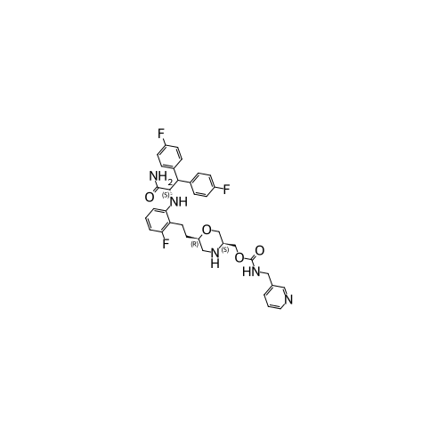 NC(=O)[C@@H](Nc1cccc(F)c1CC[C@@H]1CN[C@H](COC(=O)NCc2cccnc2)CO1)C(c1ccc(F)cc1)c1ccc(F)cc1